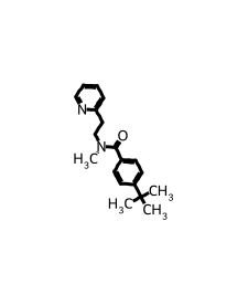 CN(CCc1ccccn1)C(=O)c1ccc(C(C)(C)C)cc1